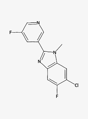 Cn1c(-c2cncc(F)c2)nc2cc(F)c(Cl)cc21